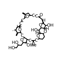 C=C1CC2CCC(=O)C[C@H]3OC4C(O)[C@H]5OC(CCC5O[C@H]4C3O)CC(=O)CC3C(CC4O[C@@H](CCC1O2)C[C@@H](C)C4=C)OC(CC(O)CO)[C@@H]3OC